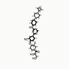 N#Cc1cc(-c2ncnc(Nc3ccc(N4CCN(C5COC5)CC4)cc3)n2)ccc1O[C@H]1CCN(C(=O)[C@H](O)CO)C[C@@H]1F